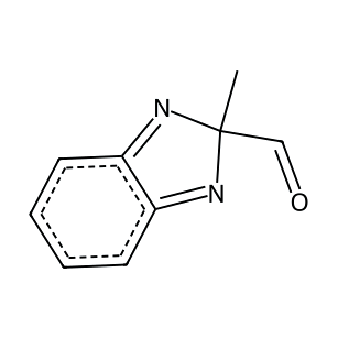 CC1(C=O)N=c2ccccc2=N1